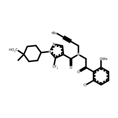 COc1cccc(Cl)c1C(=O)CN(CC#CC(C)(C)C)C(=O)c1cnn(C2CCC(C)(C(=O)O)CC2)c1C(F)(F)F